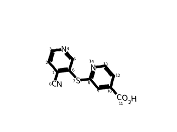 N#Cc1ccncc1Sc1cc(C(=O)O)ccn1